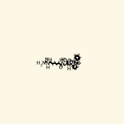 N=C(N)NCCCCCC(=O)NC[C@H](NC(=O)[C@@H]1CCCN1S(=O)(=O)c1ccccc1)C(=O)O